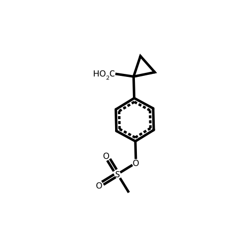 CS(=O)(=O)Oc1ccc(C2(C(=O)O)CC2)cc1